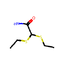 CCSC(SCC)C([NH])=O